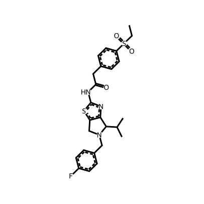 CCS(=O)(=O)c1ccc(CC(=O)Nc2nc3c(s2)CN(Cc2ccc(F)cc2)C3C(C)C)cc1